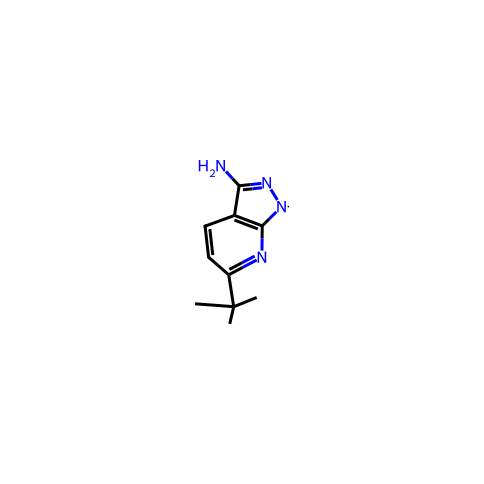 CC(C)(C)c1ccc2c(n1)[N]N=C2N